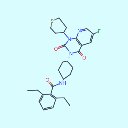 CCc1cccc(CC)c1C(=O)N[C@H]1CC[C@@H](n2c(=O)c3cc(F)cnc3n(C3CCSCC3)c2=O)CC1